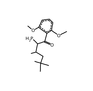 COc1cccc(OC)c1C(=O)C(P)C(C)CC(C)(C)C